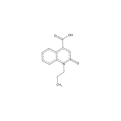 CCCn1c(=O)cc(C(=O)O)c2ccccc21